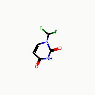 O=c1ccn(C(F)F)c(=O)[nH]1